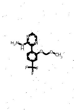 COCOc1cc(C(F)(F)F)ccc1-c1nccnc1NN